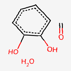 C=O.O.Oc1ccccc1O